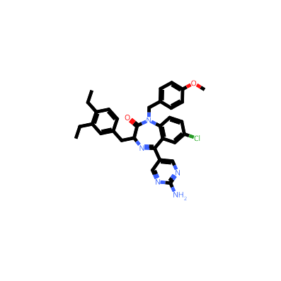 CCc1ccc(CC2N=C(c3cnc(N)nc3)c3cc(Cl)ccc3N(Cc3ccc(OC)cc3)C2=O)cc1CC